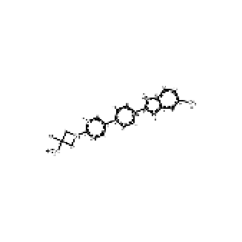 O=C(O)C1(F)CN(c2ncc(-c3ccc(-c4nc5cc(C(F)(F)F)ccc5[nH]4)cc3)cn2)C1